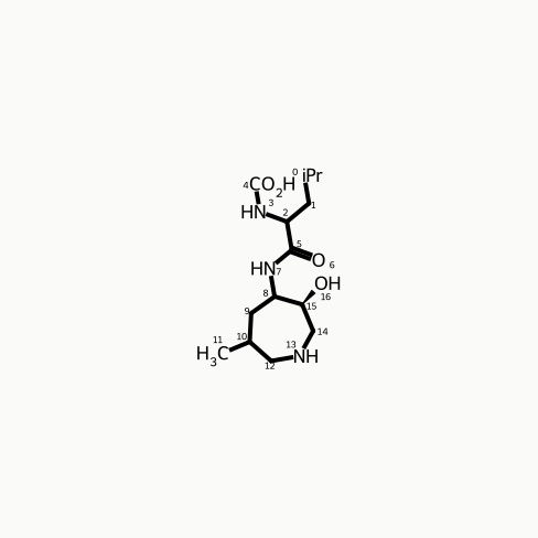 CC(C)CC(NC(=O)O)C(=O)NC1CC(C)CNC[C@@H]1O